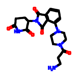 NCCC(=O)N1CCN(c2cccc3c2C(=O)N(C2CCC(=O)NC2=O)C3=O)CC1